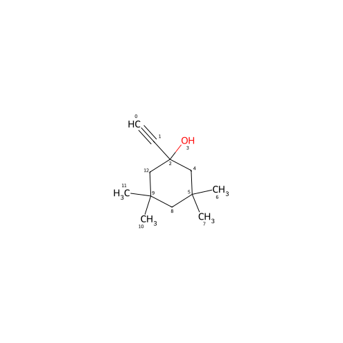 C#CC1(O)CC(C)(C)CC(C)(C)C1